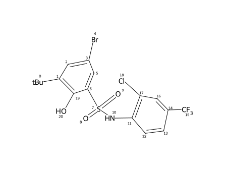 CC(C)(C)c1cc(Br)cc(S(=O)(=O)Nc2ccc(C(F)(F)F)cc2Cl)c1O